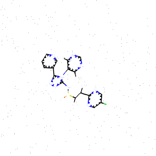 COc1ncnc(OC)c1-n1c(N[S+]([O-])C(C)C(C)c2ncc(Cl)cn2)nnc1-c1cccnc1